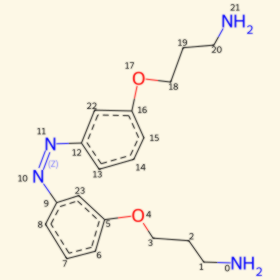 NCCCOc1cccc(/N=N\c2cccc(OCCCN)c2)c1